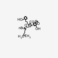 CCCCN(CCCCN(C)C)C(=O)CN1C[C@H](c2cc(CO)c3c(c2)OCO3)[C@@H](C(=O)O)[C@@H]1CCCc1ccccc1CO